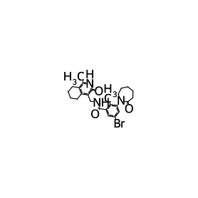 Cc1[nH]c(=O)c(CNC(=O)c2cc(Br)cc(N3CCCCCC3=O)c2C)c2c1CCCC2